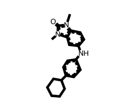 Cn1c(=O)n(C)c2cc(Nc3ccc(C4CCCCC4)cc3)ccc21